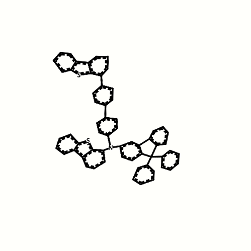 c1ccc(C2(c3ccccc3)c3ccccc3-c3cc(N(c4ccc(-c5ccc(-c6cccc7c6sc6ccccc67)cc5)cc4)c4cccc5c4sc4ccccc45)ccc32)cc1